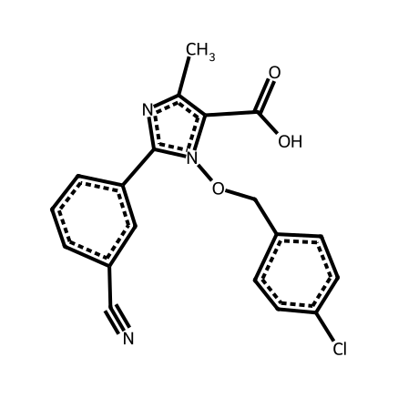 Cc1nc(-c2cccc(C#N)c2)n(OCc2ccc(Cl)cc2)c1C(=O)O